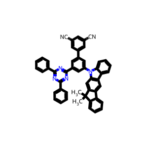 CC1(C)c2ccccc2-c2cc3c4ccccc4n(-c4cc(-c5cc(C#N)cc(C#N)c5)cc(-c5nc(-c6ccccc6)nc(-c6ccccc6)n5)c4)c3cc21